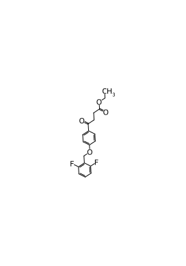 CCOC(=O)CCC(=O)c1ccc(OCc2c(F)cccc2F)cc1